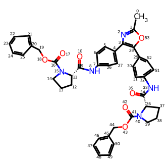 Cc1nc(-c2ccc(NC(=O)[C@@H]3CCCN3C(=O)OCc3ccccc3)cc2)c(-c2ccc(NC(=O)[C@@H]3CCCN3C(=O)OCc3ccccc3)cc2)o1